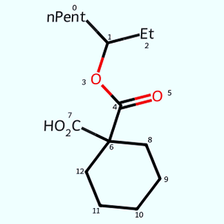 CCCCCC(CC)OC(=O)C1(C(=O)O)CCCCC1